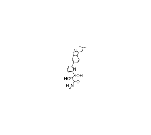 CC(C)Cn1ncc2cc(-c3cccc([C@H](O)[C@@H](O)C(N)=O)n3)ccc21